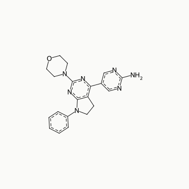 Nc1ncc(-c2nc(N3CCOCC3)nc3c2CCN3c2ccccc2)cn1